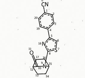 N#Cc1ccc(-c2csc(N3C(=O)C4CCC3CC4)n2)cc1